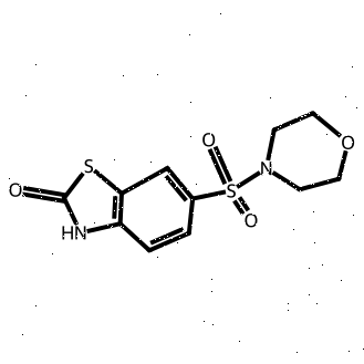 O=c1[nH]c2ccc(S(=O)(=O)N3CCOCC3)cc2s1